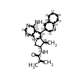 C=C(C)C(=O)NC1Cn2c(c(-c3cnc4ccccc4c3)c3c(N)ncnc32)C1=C